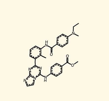 CCN(C)c1ccc(C(=O)Nc2cccc(-c3nc(Nc4ccc(C(=O)OC)cc4)n4ccnc4n3)c2C)cc1